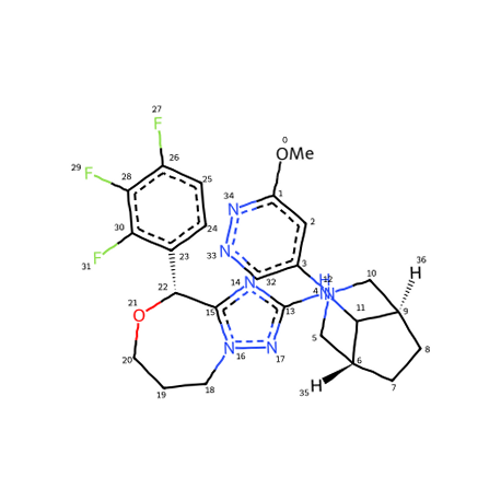 COc1cc(N2C[C@H]3CC[C@H](C2)C3Nc2nc3n(n2)CCCO[C@@H]3c2ccc(F)c(F)c2F)cnn1